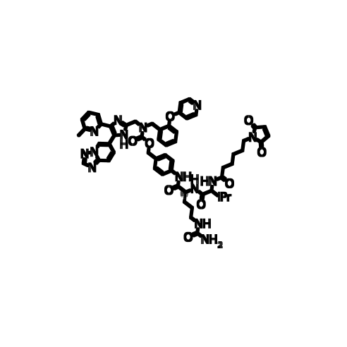 Cc1cccc(-c2nc(CN(Cc3ccccc3Oc3ccncc3)C(=O)OCc3ccc(NC(=O)[C@H](CCCNC(N)=O)NC(=O)C(NC(=O)CCCCCN4C(=O)C=CC4=O)C(C)C)cc3)[nH]c2-c2ccc3ncnn3c2)n1